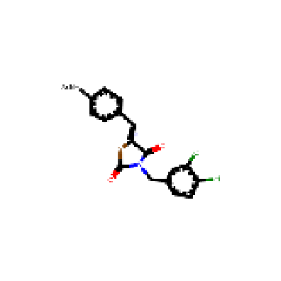 CC(=O)Nc1ccc(/C=C2\SC(=O)N(Cc3ccc(Cl)c(Cl)c3)C2=O)cc1